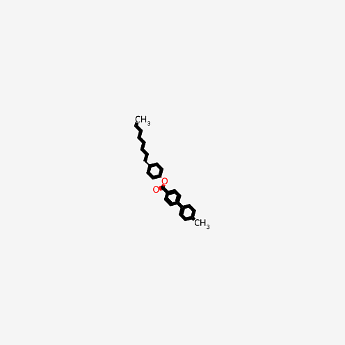 CCCCCCCC[C@H]1CC[C@H](OC(=O)c2ccc(C3=CCC(C)CC3)cc2)CC1